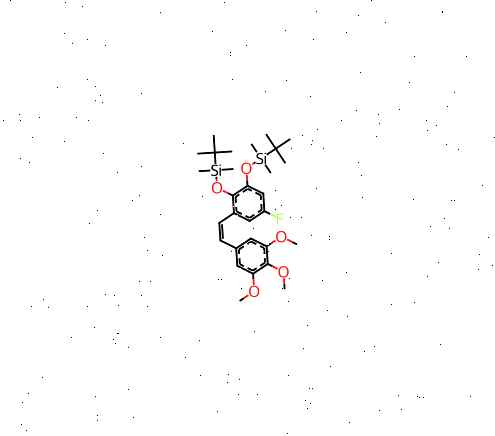 COc1cc(/C=C\c2cc(F)cc(O[Si](C)(C)C(C)(C)C)c2O[Si](C)(C)C(C)(C)C)cc(OC)c1OC